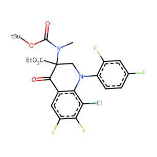 CCOC(=O)C1(N(C)C(=O)OC(C)(C)C)CN(c2ccc(F)cc2F)c2c(cc(F)c(F)c2Cl)C1=O